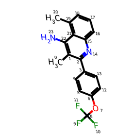 Cc1c(-c2ccc(OC(F)(F)F)cc2)nc2cccc(C)c2c1N